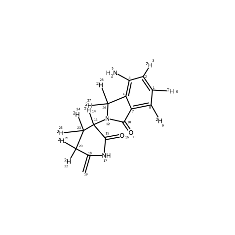 [2H]c1c([2H])c(N)c2c(c1[2H])C(=O)N(C1([2H])C(=O)NC(=C)C([2H])([2H])C1([2H])[2H])C2([2H])[2H]